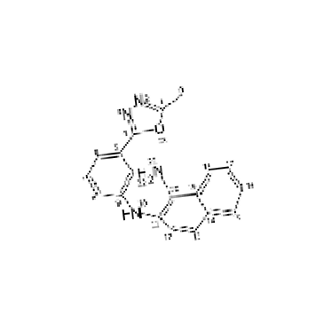 Cc1nnc(-c2cccc(Nc3ccc4ccccc4c3N)c2)o1